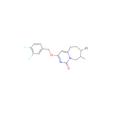 CCC1CCc2cc(OCc3ccc(F)c(F)c3)nc(=O)n2CC1C